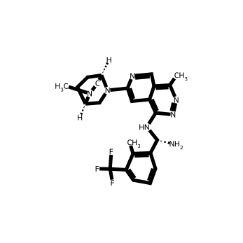 Cc1c([C@@H](N)Nc2nnc(C)c3cnc(N4C[C@H]5CC[C@@H]4CN5C)cc23)cccc1C(F)(F)F